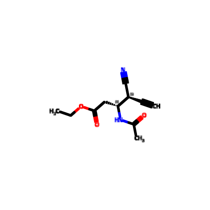 C#C[C@H](C#N)[C@@H](CC(=O)OCC)NC(C)=O